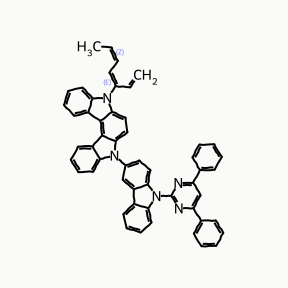 C=C/C(=C\C=C/C)n1c2ccccc2c2c3c4ccccc4n(-c4ccc5c(c4)c4ccccc4n5-c4nc(-c5ccccc5)cc(-c5ccccc5)n4)c3ccc21